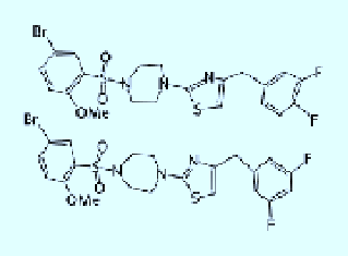 COc1ccc(Br)cc1S(=O)(=O)N1CCN(c2nc(Cc3cc(F)cc(F)c3)cs2)CC1.COc1ccc(Br)cc1S(=O)(=O)N1CCN(c2nc(Cc3ccc(F)c(F)c3)cs2)CC1